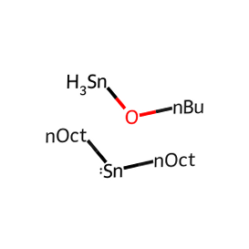 CCCCCCC[CH2][Sn][CH2]CCCCCCC.CCCC[O][SnH3]